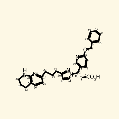 O=C(O)C[C@@H](c1ccc(OCc2ccccc2)nc1)n1ccc(CCCc2ccc3c(n2)NCCC3)n1